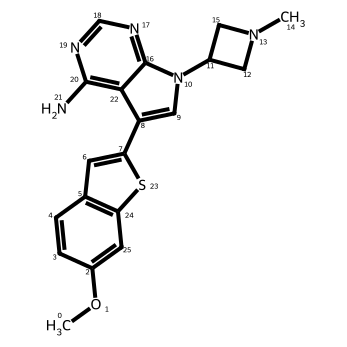 COc1ccc2cc(-c3cn(C4CN(C)C4)c4ncnc(N)c34)sc2c1